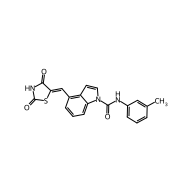 Cc1cccc(NC(=O)n2ccc3c(/C=C4\SC(=O)NC4=O)cccc32)c1